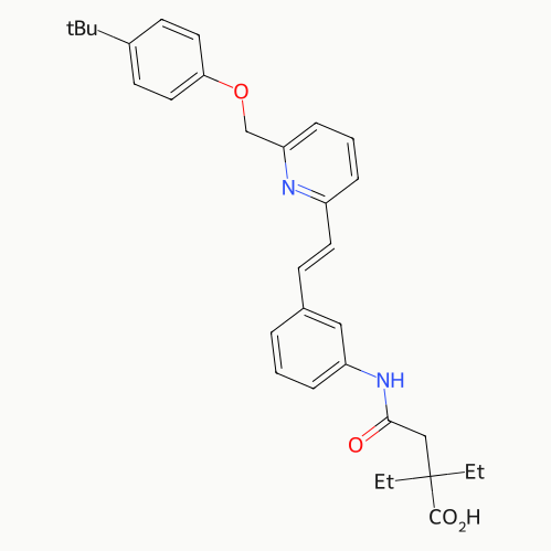 CCC(CC)(CC(=O)Nc1cccc(C=Cc2cccc(COc3ccc(C(C)(C)C)cc3)n2)c1)C(=O)O